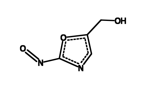 O=Nc1ncc(CO)o1